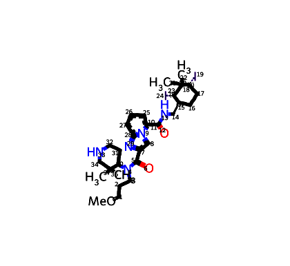 COCCCN(C(=O)c1cn2c(C(=O)NC[C@@H]3CC[C@@H](I)C(C)(C)[C@H]3I)cccc2n1)C1CCNCC1(C)C